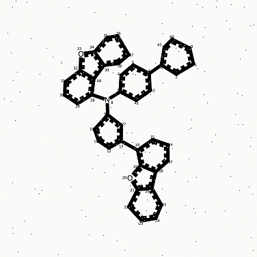 c1ccc(-c2ccc(N(c3cccc(-c4cccc5c4oc4ccccc45)c3)c3cccc4oc5ccccc5c34)cc2)cc1